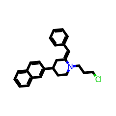 ClCCCN1CCC(c2ccc3ccccc3c2)CC1=Cc1ccccc1